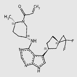 C=CC(=O)N1C[C@H](Nc2ncnc3[nH]cc([C@H]4CC[C@@]5(C4)CC5(F)F)c23)CC[C@@H]1C